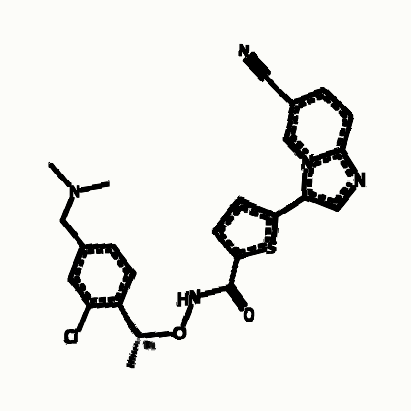 C[C@@H](ONC(=O)c1ccc(-c2cnc3ccc(C#N)cn23)s1)c1ccc(CN(C)C)cc1Cl